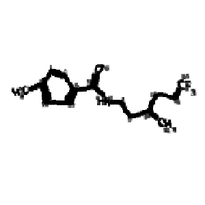 Cc1ccc(C(=O)NCCC(C)CCC(F)(F)F)cc1